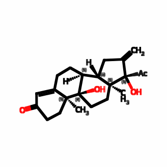 C=C1C[C@H]2[C@@H]3CCC4=CC(=O)CC[C@]4(C)[C@@]3(O)CC[C@]2(C)[C@]1(O)C(C)=O